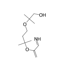 C=C(C=N)OC(C)(C)CCOC(C)(C)CO